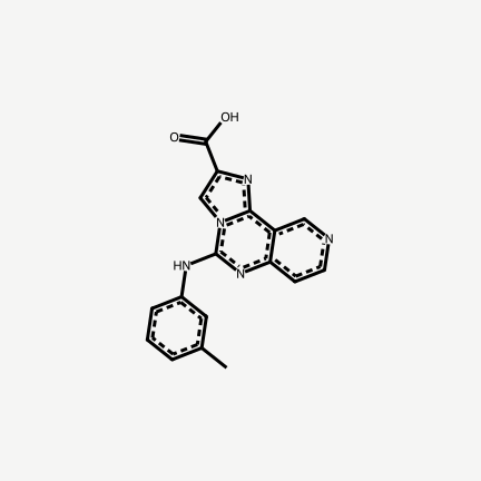 Cc1cccc(Nc2nc3ccncc3c3nc(C(=O)O)cn23)c1